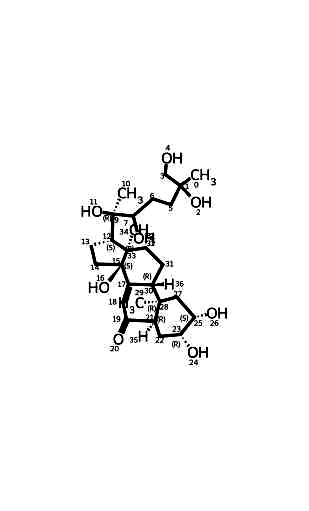 CC(O)(CO)CCC(O)[C@](C)(O)[C@H]1CC[C@@]2(O)C3=CC(=O)[C@@H]4C[C@@H](O)[C@@H](O)C[C@]4(C)[C@H]3CC[C@]12C